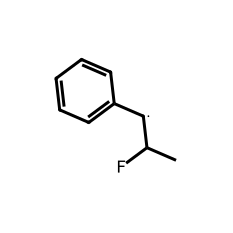 CC(F)[CH]c1ccccc1